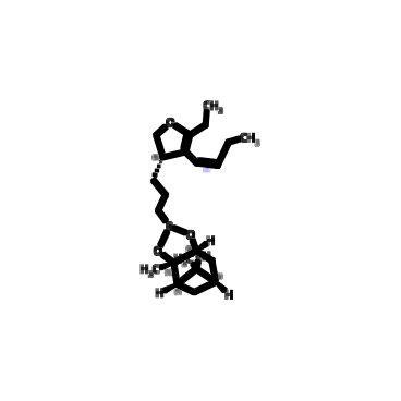 CC/C=C\C1=C(CC)OC[C@H]1CCCB1O[C@@H]2C[C@@H]3C[C@@H](C3(C)C)[C@]2(C)O1